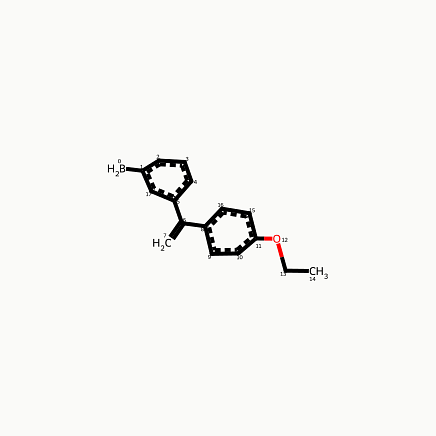 Bc1cccc(C(=C)c2ccc(OCC)cc2)c1